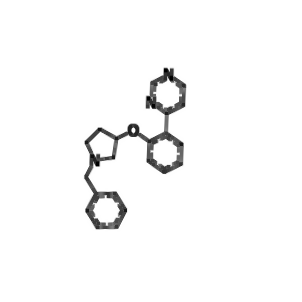 c1ccc(CN2CCC(Oc3ccccc3-c3ccncn3)C2)cc1